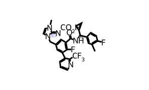 Cc1cc([C@@H](NC(=O)c2cc(Cn3ccn(C)/c3=N\C(=O)O)cc(-c3cccnc3C(F)(F)F)c2F)C2CC2)ccc1F